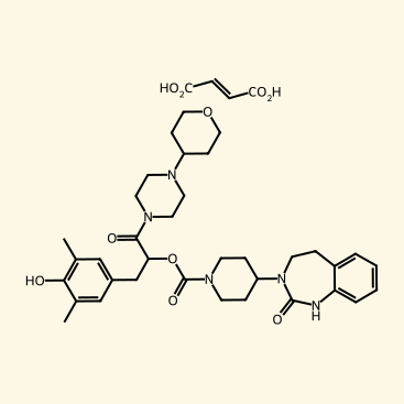 Cc1cc(CC(OC(=O)N2CCC(N3CCc4ccccc4NC3=O)CC2)C(=O)N2CCN(C3CCOCC3)CC2)cc(C)c1O.O=C(O)C=CC(=O)O